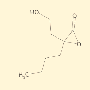 CCCCC1(CCO)OC1=O